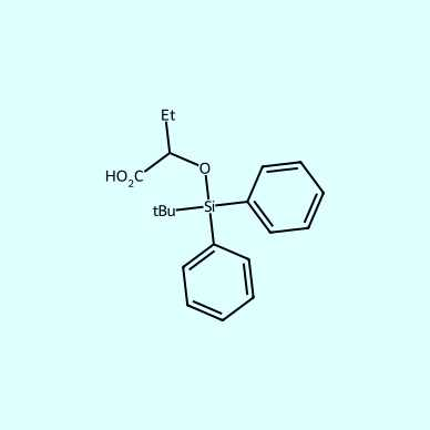 CCC(O[Si](c1ccccc1)(c1ccccc1)C(C)(C)C)C(=O)O